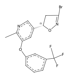 Cc1ncc([C@@H]2CC(Br)=NO2)cc1Oc1cccc(C(F)(F)F)c1